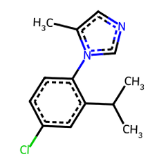 Cc1cncn1-c1ccc(Cl)cc1C(C)C